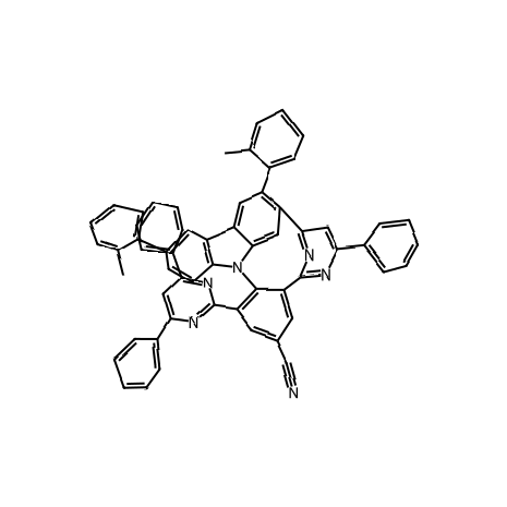 Cc1ccccc1-c1ccc2c(c1)c1cc(-c3ccccc3C)c3cc1n2c1c(-c2nc(-c4ccccc4)cc(-c4ccccc4)n2)cc(C#N)cc1c1nc(-c2ccccc2)cc3n1